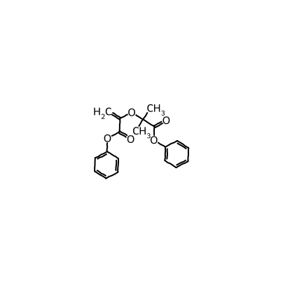 C=C(OC(C)(C)C(=O)Oc1ccccc1)C(=O)Oc1ccccc1